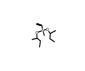 C=C[Si](C)(OC(C)CC)OC(C)CC